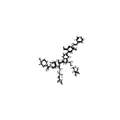 CCc1cc(OCc2ccccc2)c(F)cc1-c1ccc2c(-c3nc4c(n3COCC[Si](C)(C)C)CN(C(=O)N3CCN(C)CC3)C4)nn(COCC[Si](C)(C)C)c2c1